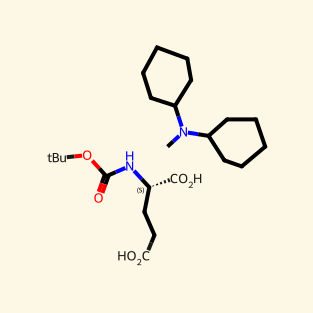 CC(C)(C)OC(=O)N[C@@H](CCC(=O)O)C(=O)O.CN(C1CCCCC1)C1CCCCC1